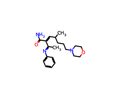 CC(=N\c1ccccc1)/C(=C\C(C)CCCN1CCOCC1)C(N)=O